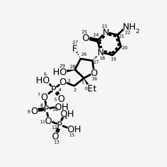 CC[C@]1(COP(=O)(O)OP(=O)(O)OP(=O)(O)O)O[C@@H](n2ccc(N)nc2=O)[C@@H](F)[C@@H]1O